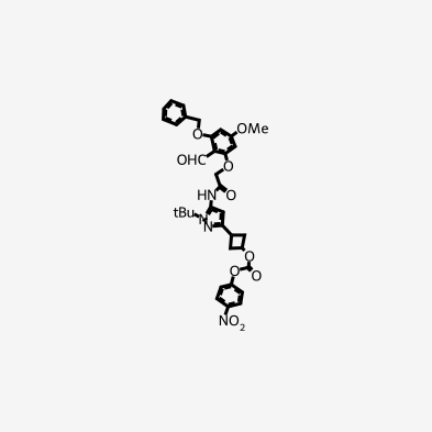 COc1cc(OCC(=O)Nc2cc(C3CC(OC(=O)Oc4ccc([N+](=O)[O-])cc4)C3)nn2C(C)(C)C)c(C=O)c(OCc2ccccc2)c1